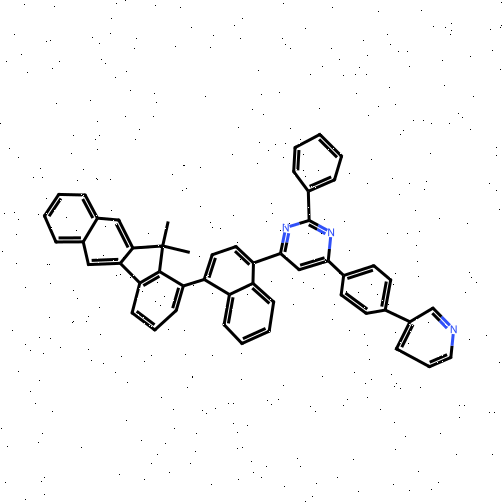 CC1(C)c2cc3ccccc3cc2-c2cccc(-c3ccc(-c4cc(-c5ccc(-c6cccnc6)cc5)nc(-c5ccccc5)n4)c4ccccc34)c21